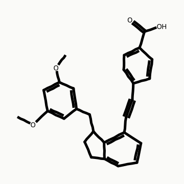 COc1cc(CC2CCc3cccc(C#Cc4ccc(C(=O)O)cc4)c32)cc(OC)c1